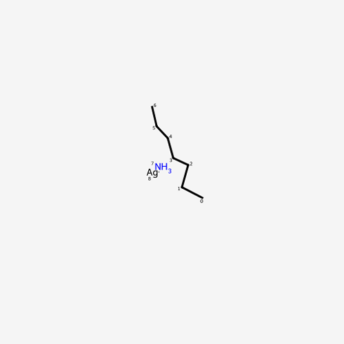 CCCCCCC.N.[Ag]